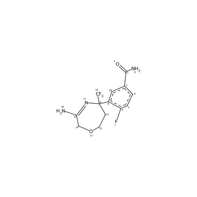 NC(=O)c1ccc(F)c(C2(C(F)(F)F)CCOCC(N)=N2)c1